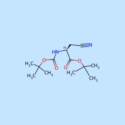 CC(C)(C)OC(=O)N[C@@H](CC#N)C(=O)OC(C)(C)C